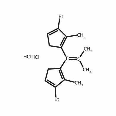 CCC1=CC[C]([Ti]([C]2=C(C)C(CC)=CC2)=[Si](C)C)=C1C.Cl.Cl